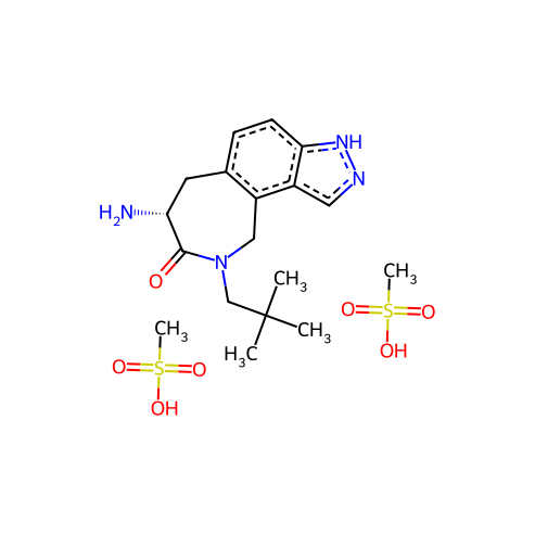 CC(C)(C)CN1Cc2c(ccc3[nH]ncc23)C[C@@H](N)C1=O.CS(=O)(=O)O.CS(=O)(=O)O